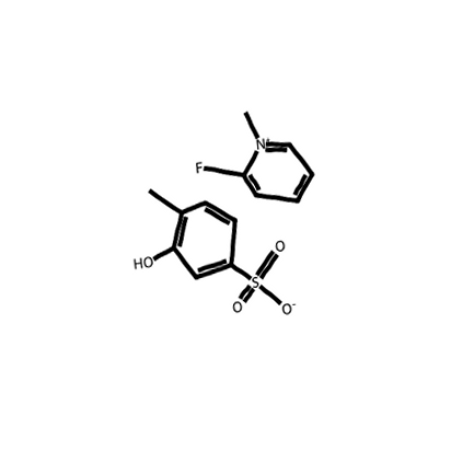 C[n+]1ccccc1F.Cc1ccc(S(=O)(=O)[O-])cc1O